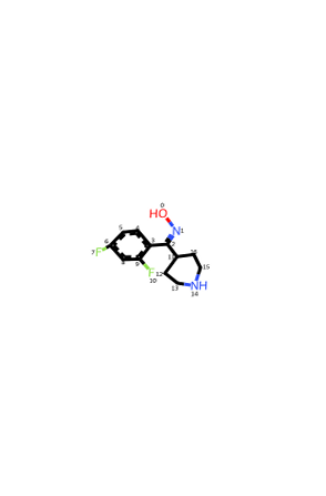 O/N=C(\c1ccc(F)cc1F)C1CCNCC1